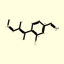 C/N=C\C(C)=C(/C)c1ccc(C=N)cc1F